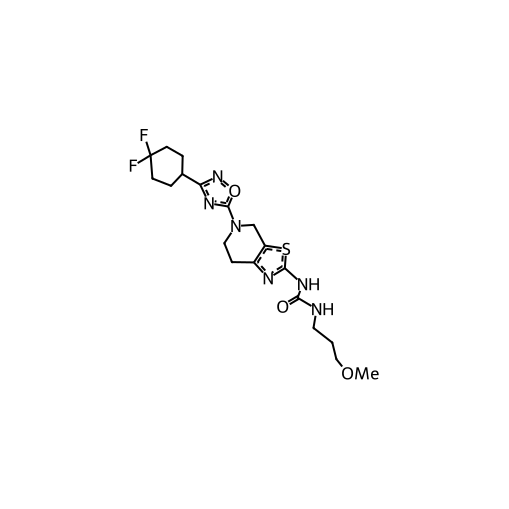 COCCCNC(=O)Nc1nc2c(s1)CN(c1nc(C3CCC(F)(F)CC3)no1)CC2